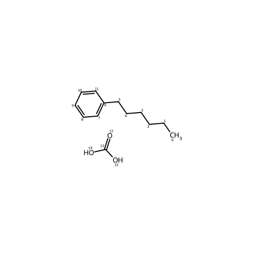 CCCCCCc1ccccc1.O=C(O)O